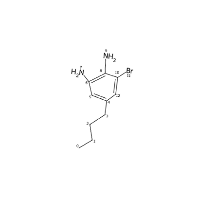 CCCCc1cc(N)c(N)c(Br)c1